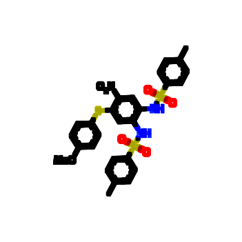 COc1ccc(Sc2cc(NS(=O)(=O)c3ccc(C)cc3)c(NS(=O)(=O)c3ccc(C)cc3)cc2[N+](=O)[O-])cc1